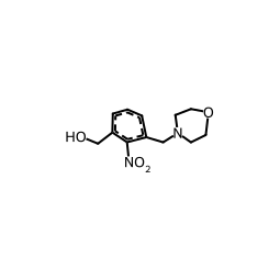 O=[N+]([O-])c1c(CO)cccc1CN1CCOCC1